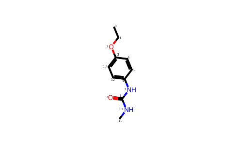 CCOc1ccc(NC(=O)NC)cc1